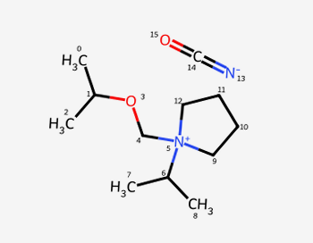 CC(C)OC[N+]1(C(C)C)CCCC1.[N-]=C=O